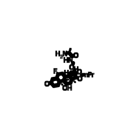 CCCC1O[C@@H]2CC3[C@@H]4C[C@H](F)C5=CC(=O)C=C[C@]5(C)[C@@]4(F)[C@@H](O)C[C@]3(C)[C@]2(C(=O)COCNC(=O)[C@H](C)N)O1